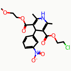 COCCOC(=O)C1=C(C)NC(C)=C(C(=O)OCCCl)C1c1cccc([N+](=O)[O-])c1